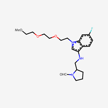 COCCOCCOCCn1cc(NCC2CCCN2C=O)c2ccc(F)cc21